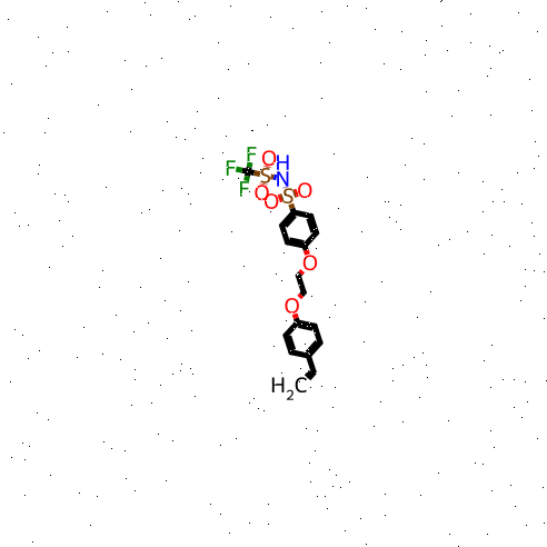 C=Cc1ccc(OCCOc2ccc(S(=O)(=O)NS(=O)(=O)C(F)(F)F)cc2)cc1